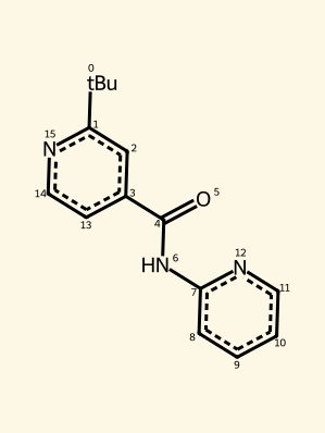 CC(C)(C)c1cc(C(=O)Nc2ccccn2)ccn1